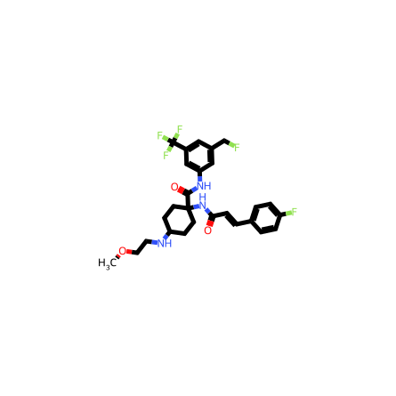 COCCNC1CCC(NC(=O)/C=C/c2ccc(F)cc2)(C(=O)Nc2cc(CF)cc(C(F)(F)F)c2)CC1